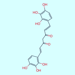 O=C(C=Cc1ccc(O)c(O)c1O)CC(=O)C=Cc1ccc(O)c(O)c1O